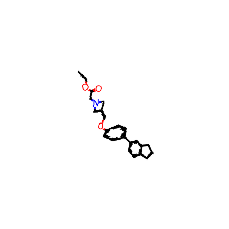 CCOC(=O)CN1CC(COc2ccc(-c3ccc4c(c3)CCC4)cc2)C1